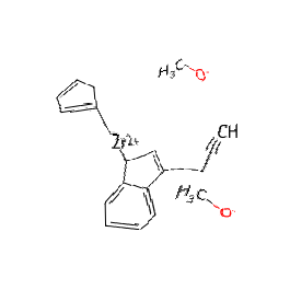 C#CCC1=C[CH]([Zr+2][C]2=CC=CC2)c2ccccc21.C[O-].C[O-]